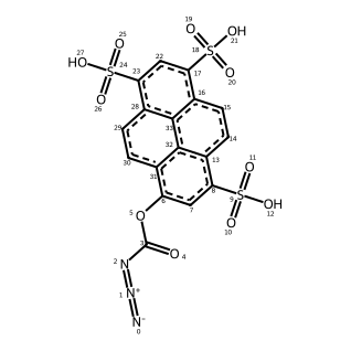 [N-]=[N+]=NC(=O)Oc1cc(S(=O)(=O)O)c2ccc3c(S(=O)(=O)O)cc(S(=O)(=O)O)c4ccc1c2c43